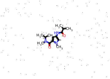 CC(C)C(=O)Nc1cc(C(=O)N(C)C(C)C)n(C)c1